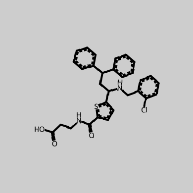 O=C(O)CCNC(=O)c1ccc(C(CC(c2ccccc2)c2ccccc2)NCc2ccccc2Cl)s1